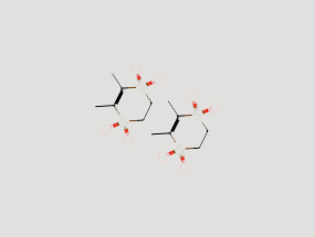 CC1=C(C)S(=O)(=O)CCS1(=O)=O.CC1=C(C)S(=O)(=O)CCS1(=O)=O